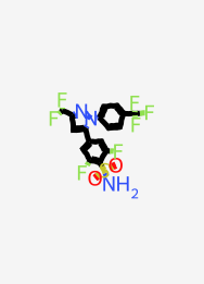 NS(=O)(=O)c1c(F)cc(-c2cc(C(F)F)nn2-c2ccc(C(F)(F)F)cc2)cc1F